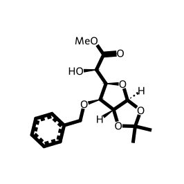 COC(=O)[C@H](O)[C@H]1O[C@H]2OC(C)(C)O[C@@H]2[C@H]1OCc1ccccc1